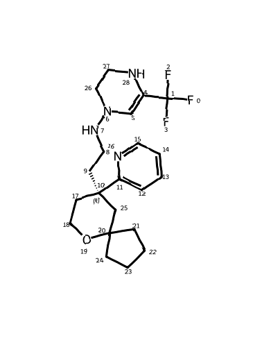 FC(F)(F)C1=CN(NCC[C@@]2(c3ccccn3)CCOC3(CCCC3)C2)CCN1